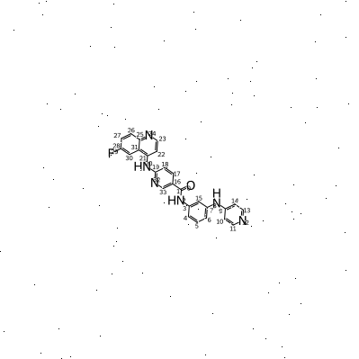 O=C(Nc1cccc(Nc2ccncc2)c1)c1ccc(Nc2ccnc3ccc(F)cc23)nc1